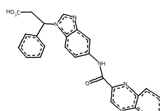 O=C(O)CC(c1ccccc1)n1cnc2cc(NC(=O)c3cnc4ccccc4n3)ccc21